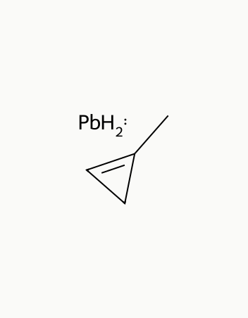 CC1=CC1.[PbH2]